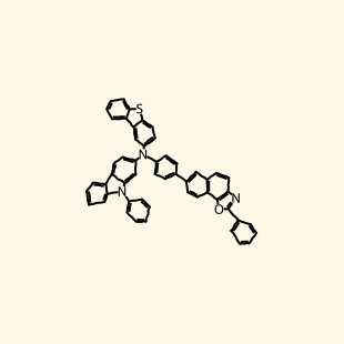 c1ccc(-c2nc3ccc4cc(-c5ccc(N(c6ccc7sc8ccccc8c7c6)c6ccc7c8ccccc8n(-c8ccccc8)c7c6)cc5)ccc4c3o2)cc1